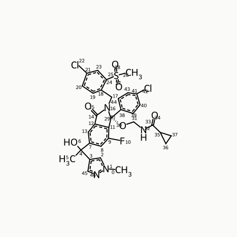 Cn1cc(C(C)(O)c2cc(F)c3c(c2)C(=O)N(Cc2ccc(Cl)cc2S(C)(=O)=O)[C@@]3(OCNC(=O)C2CC2)c2ccc(Cl)cc2)cn1